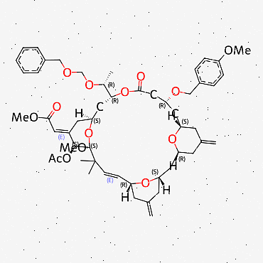 C=C1C[C@@H]2C[C@@H]3CC(=C)C[C@H](/C=C/C(C)(C)[C@]4(OC)O[C@@H](C/C(=C\C(=O)OC)[C@@H]4OC(C)=O)C[C@H]([C@@H](C)OCOCc4ccccc4)OC(=O)C[C@H](OCc4ccc(OC)cc4)C[C@H](C1)O2)O3